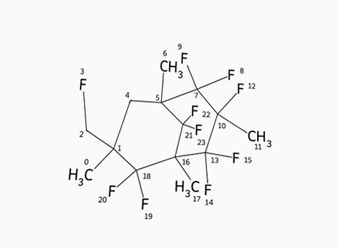 CC1(CF)CC2(C)C(F)(F)C(C)(F)C(F)(F)C(C)(C1(F)F)C2(F)F